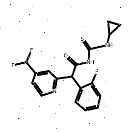 O=C(NC(=S)NC1CC1)C(c1cc(C(F)F)ccn1)c1ccccc1F